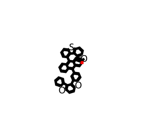 c1ccc2c(c1)oc1ccc3oc4ccc(-c5c6ccccc6c(-c6cccc7sc8ccc9occc9c8c67)c6ccccc56)cc4c3c12